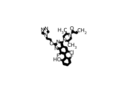 C=CC(=O)N1C[C@H](C)N(c2nc(OCCn3cnnc3)nc3c(F)c(-c4c(O)cccc4F)c(Cl)cc23)C[C@H]1C